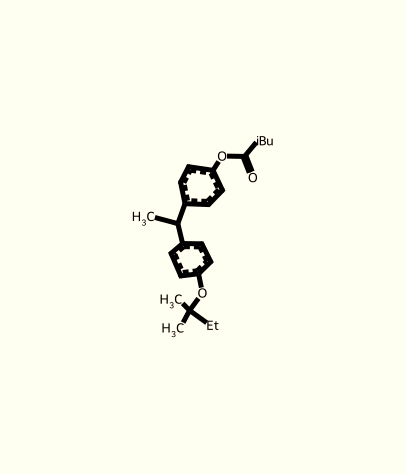 CCC(C)C(=O)Oc1ccc(C(C)c2ccc(OC(C)(C)CC)cc2)cc1